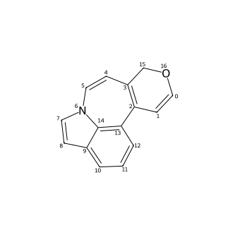 C1=CC2=C(C=Cn3ccc4cccc2c43)CO1